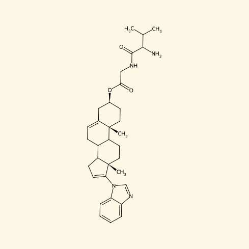 CC(C)C(N)C(=O)NCC(=O)O[C@H]1CC[C@@]2(C)C(=CCC3C2CC[C@]2(C)C(n4cnc5ccccc54)=CCC32)C1